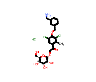 Cc1c(C(=O)CO[C@H]2O[C@H](CO)[C@@H](O)[C@H](O)[C@H]2O)cc(Cl)c(OCc2cccc(CN)c2)c1Cl.Cl